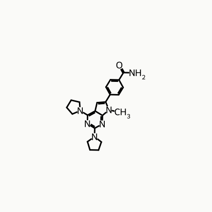 Cn1c(-c2ccc(C(N)=O)cc2)cc2c(N3CCCC3)nc(N3CCCC3)nc21